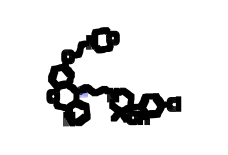 CC1(C)CN(CC/C=C2/c3cc(OCCN4CCOCC4)ccc3OCc3ncccc32)CCC1(O)c1ccc(Cl)cc1